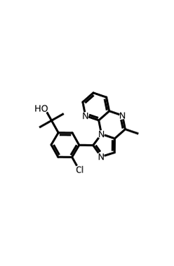 Cc1nc2cccnc2n2c(-c3cc(C(C)(C)O)ccc3Cl)ncc12